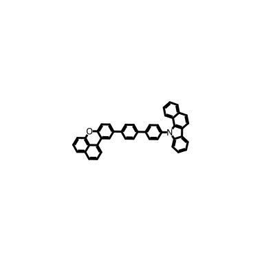 c1cc2c3c(cccc3c1)-c1cc(-c3ccc(-c4ccc(-n5c6ccccc6c6ccc7ccccc7c65)cc4)cc3)ccc1O2